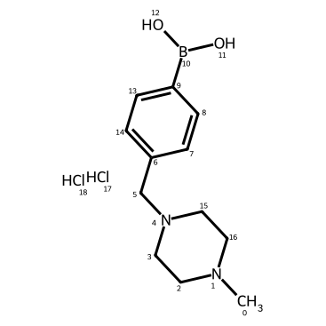 CN1CCN(Cc2ccc(B(O)O)cc2)CC1.Cl.Cl